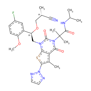 COc1ccc(F)cc1[C@H](Cn1c(=O)n(C(C)(C)C(=O)NC(C)C)c(=O)c2c(C)c(-n3nccn3)sc21)OC[C@H](C)C#N